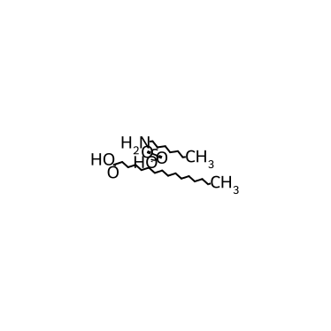 CCCCCC(CN)S(=O)(=O)O.CCCCCCCCCCCCCCCC(=O)O